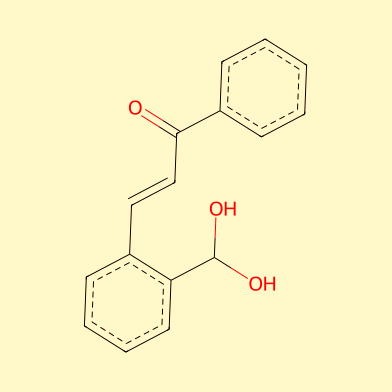 O=C(C=Cc1ccccc1C(O)O)c1ccccc1